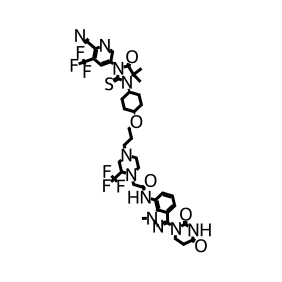 Cn1nc(N2CCC(=O)NC2=O)c2cccc(NC(=O)CN3CCN(CCCO[C@H]4CC[C@H](N5C(=S)N(c6cnc(C#N)c(C(F)(F)F)c6)C(=O)C5(C)C)CC4)CC3C(F)(F)F)c21